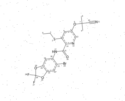 CCSc1cc(OC(C)(C)C#N)cnc1C(=O)Nc1cc2c(cc1Br)OC(F)(F)O2